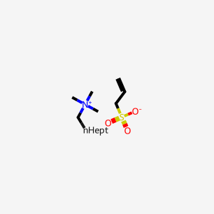 C=CCS(=O)(=O)[O-].CCCCCCCC[N+](C)(C)C